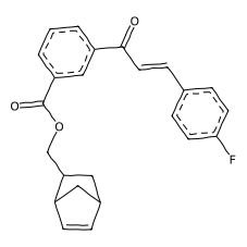 O=C(C=Cc1ccc(F)cc1)c1cccc(C(=O)OCC2CC3C=CC2C3)c1